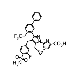 NS(=O)(=O)c1ccc(Cc2c(-c3cc(-c4ccccc4)ccc3CC(F)(F)F)nn(-c3nc(C(=O)O)cs3)c2CC2CC2)cc1F